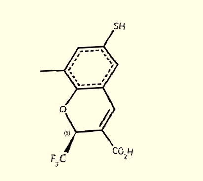 Cc1cc(S)cc2c1O[C@H](C(F)(F)F)C(C(=O)O)=C2